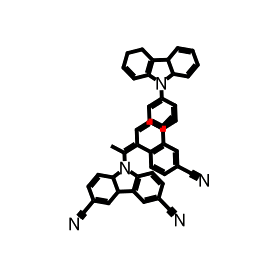 C=C/C=C\C(=C(/C)N1c2ccc(C#N)cc2C2C=C(C#N)C=CC21)c1ccc(C#N)cc1-c1ccc(N2C3=C(CCC=C3)C3C=CC=CC32)cc1